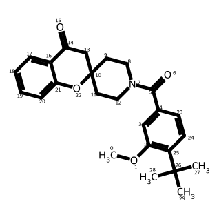 COc1cc(C(=O)N2CCC3(CC2)CC(=O)c2ccccc2O3)ccc1C(C)(C)C